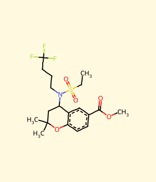 CCS(=O)(=O)N(CCCC(F)(F)F)C1CC(C)(C)Oc2ccc(C(=O)OC)cc21